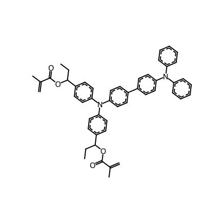 C=C(C)C(=O)OC(CC)c1ccc(N(c2ccc(-c3ccc(N(c4ccccc4)c4ccccc4)cc3)cc2)c2ccc(C(CC)OC(=O)C(=C)C)cc2)cc1